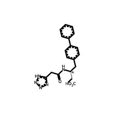 O=C(O)C[C@@H](Cc1ccc(-c2ccccc2)cc1)NC(=O)Cc1nnn[nH]1